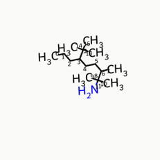 CCCC(CCC(C)C(C)(C)N)C(C)(C)C